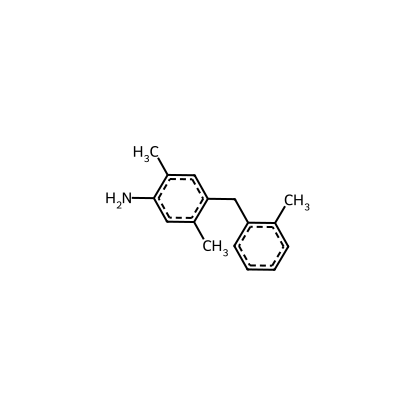 Cc1cc(Cc2ccccc2C)c(C)cc1N